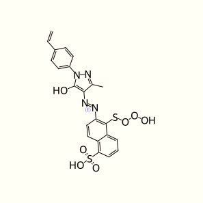 C=Cc1ccc(-n2nc(C)c(/N=N/c3ccc4c(S(=O)(=O)O)cccc4c3SOOO)c2O)cc1